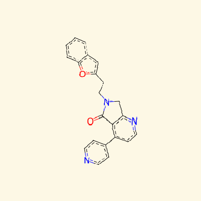 O=C1c2c(-c3ccncc3)ccnc2CN1CCc1cc2ccccc2o1